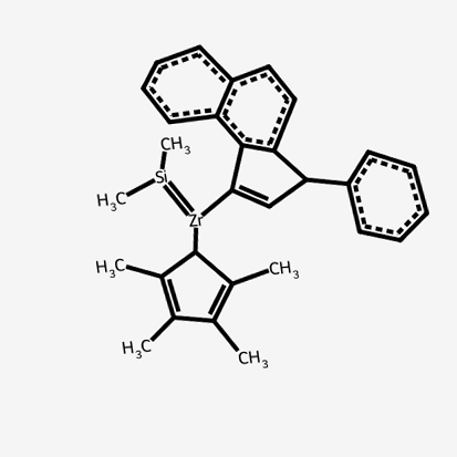 CC1=C(C)[CH]([Zr]([C]2=CC(c3ccccc3)c3ccc4ccccc4c32)=[Si](C)C)C(C)=C1C